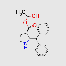 CC(O)OC(=O)[C@@H]1CCN[C@@H]1C(c1ccccc1)c1ccccc1